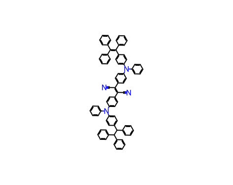 N#C/C(=C(/C#N)c1ccc(N(c2ccccc2)c2ccc(C(c3ccccc3)C(c3ccccc3)c3ccccc3)cc2)cc1)c1ccc(N(c2ccccc2)c2ccc(C(=C(c3ccccc3)c3ccccc3)c3ccccc3)cc2)cc1